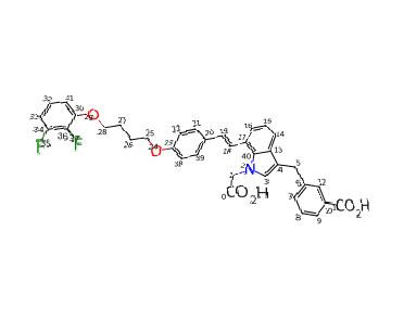 O=C(O)Cn1cc(Cc2cccc(C(=O)O)c2)c2cccc(C=Cc3ccc(OCCCCOc4cccc(F)c4F)cc3)c21